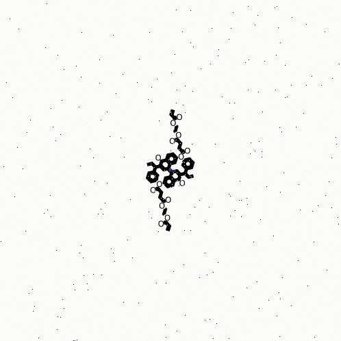 C=CC(=O)OCCOC(=O)CCC(=O)Oc1cccc(C(CC)C2=C/C(=C3/C=C(C(CC)c4cccc(OC(=O)CCC(=O)OCCOC(=O)C=C)c4)C(=O)c4ccccc43)c3ccccc3C2=O)c1